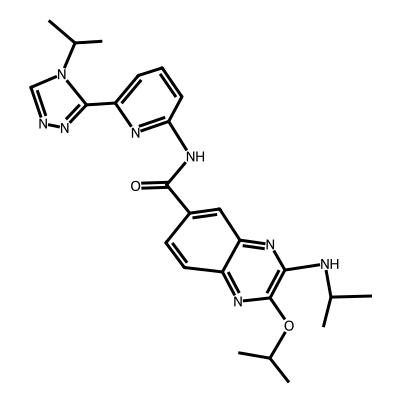 CC(C)Nc1nc2cc(C(=O)Nc3cccc(-c4nncn4C(C)C)n3)ccc2nc1OC(C)C